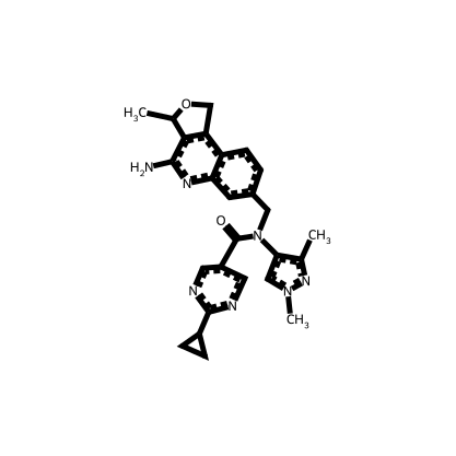 Cc1nn(C)cc1N(Cc1ccc2c3c(c(N)nc2c1)C(C)OC3)C(=O)c1cnc(C2CC2)nc1